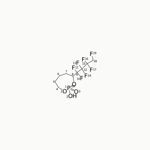 O=P1(O)OCCCCC(C(F)(F)C(F)(F)C(F)(F)CF)O1